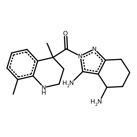 Cc1cccc2c1NCCC2(C)C(=O)n1nc2c(c1N)C(N)CCC2